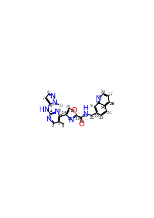 Cc1cnc(Nc2ccnn2C)nc1-c1coc(C(=O)NCc2ccc3cccnc3c2)n1